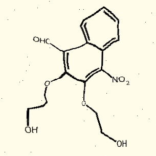 O=Cc1c(OCCO)c(OCCO)c([N+](=O)[O-])c2ccccc12